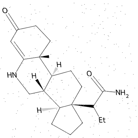 CCC(C(N)=O)[C@@]12CCC[C@H]1[C@@H]1CNC3=CC(=O)CC[C@]3(C)[C@H]1CC2